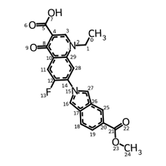 CCn1cc(C(=O)O)c(=O)c2cc(F)c(-n3cc4ccc(C(=O)OC)cc4c3)cc21